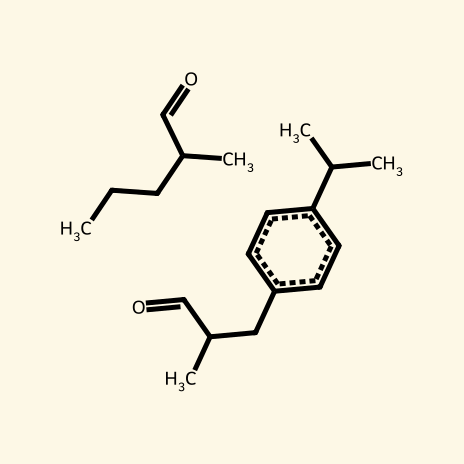 CC(C=O)Cc1ccc(C(C)C)cc1.CCCC(C)C=O